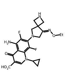 CCON=C1CN(c2c(F)c(N)c3c(=O)c(C(=O)O)cn(C4CC4)c3c2F)CC12CNC2